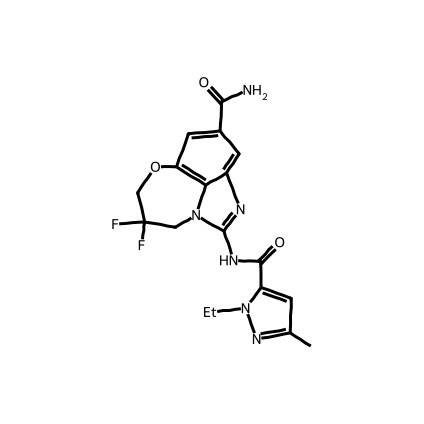 CCn1nc(C)cc1C(=O)Nc1nc2cc(C(N)=O)cc3c2n1CC(F)(F)CO3